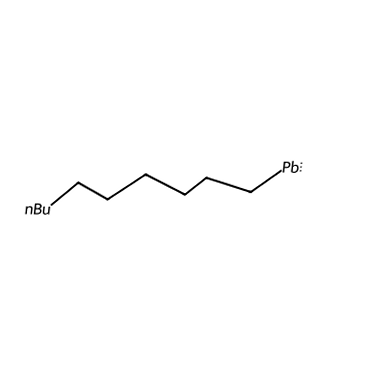 CCCCCCCCC[CH2][Pb]